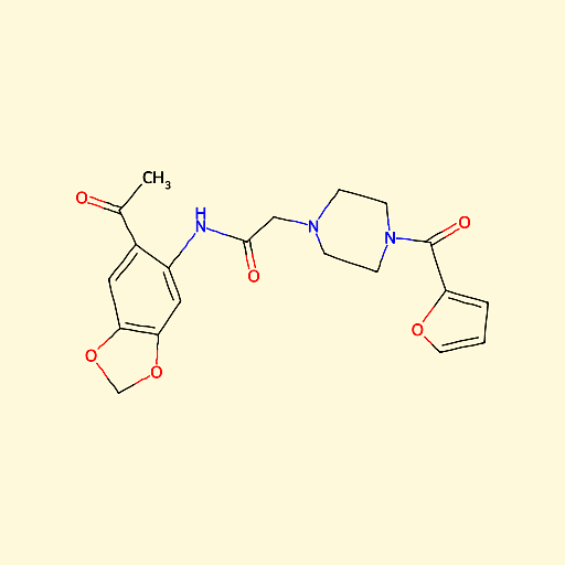 CC(=O)c1cc2c(cc1NC(=O)CN1CCN(C(=O)c3ccco3)CC1)OCO2